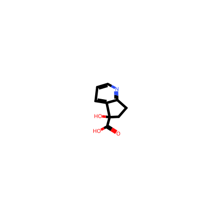 O=C(O)C1(O)CCc2ncccc21